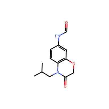 CC(C)CN1C(=O)COc2cc(NC=O)ccc21